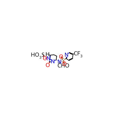 O=CN([C@H]1CC[C@@H]2CN1C(=O)N2OS(=O)(=O)O)S(=O)(=O)c1ccc(C(F)(F)F)cn1